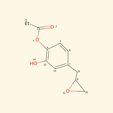 CCC(=O)Oc1ccc(CC2CO2)cc1O